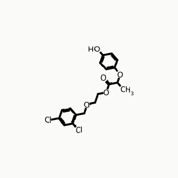 CC(Oc1ccc(O)cc1)C(=O)OCCOCc1ccc(Cl)cc1Cl